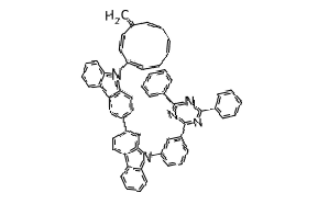 C=C1/C=C\C=C/C/C=C(n2c3ccccc3c3cc(-c4ccc5c6ccccc6n(-c6cccc(-c7nc(-c8ccccc8)nc(-c8ccccc8)n7)c6)c5c4)ccc32)\C=C/1